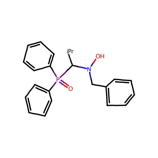 CC(C)C(N(O)Cc1ccccc1)P(=O)(c1ccccc1)c1ccccc1